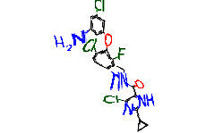 Nc1cc(Cl)cc(Oc2c(Cl)ccc(CNC(=O)c3[nH]c(C4CC4)nc3Cl)c2F)c1